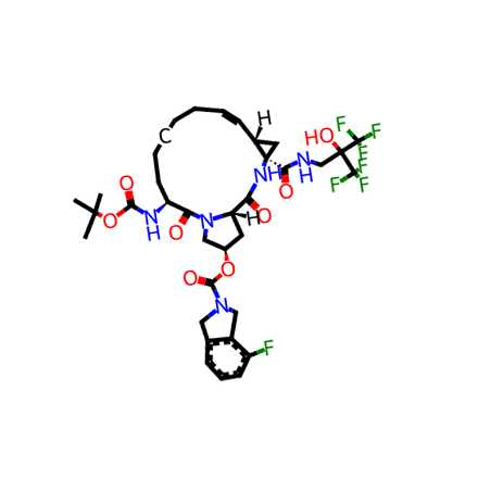 CC(C)(C)OC(=O)N[C@H]1CCCCC/C=C\[C@@H]2C[C@@]2(C(=O)NCC(O)(C(F)(F)F)C(F)(F)F)NC(=O)[C@@H]2C[C@@H](OC(=O)N3Cc4cccc(F)c4C3)CN2C1=O